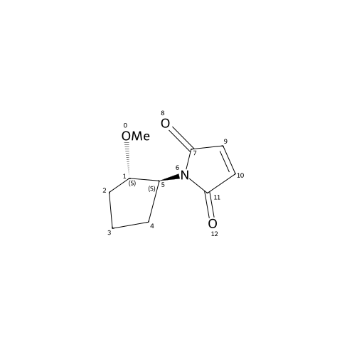 CO[C@H]1CCC[C@@H]1N1C(=O)C=CC1=O